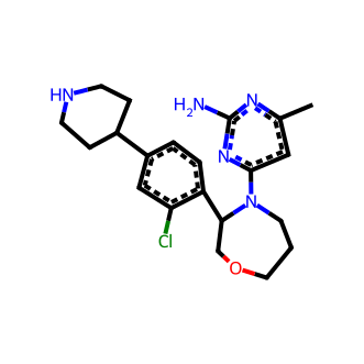 Cc1cc(N2CCCOCC2c2ccc(C3CCNCC3)cc2Cl)nc(N)n1